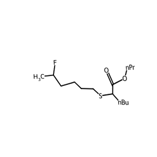 CCCCC(SCCCCC(C)F)C(=O)OCCC